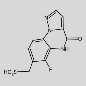 O=c1[nH]c2c(F)c(CS(=O)(=O)O)ccc2n2nccc12